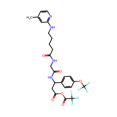 Cc1ccnc(NCCCCC(=O)NCC(=O)NC(CC(=O)OC(=O)C(F)(F)F)c2ccc(OC(F)(F)F)cc2)c1